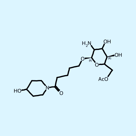 CC(=O)OCC1O[C@@H](OCCCCC(=O)N2CCC(O)CC2)C(N)C(O)[C@H]1O